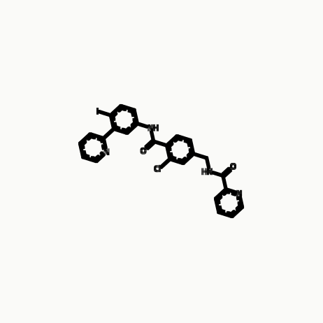 O=C(NCc1ccc(C(=O)Nc2ccc(I)c(-c3ccccn3)c2)c(Cl)c1)c1ccccn1